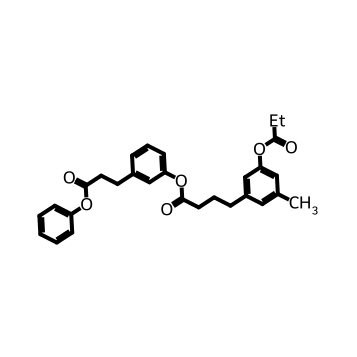 CCC(=O)Oc1cc(C)cc(CCCC(=O)Oc2cccc(CCC(=O)Oc3ccccc3)c2)c1